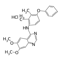 COc1cc2ncnc(Nc3ccc(Oc4ccccc4)c(C)c3C)c2cc1OC.Cl